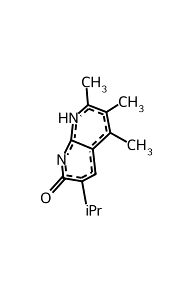 Cc1[nH]c2nc(=O)c(C(C)C)cc-2c(C)c1C